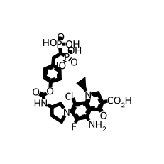 Nc1c(F)c(N2CCC(NC(=O)Oc3ccc(CC(P(=O)(O)O)P(=O)(O)O)cc3)C2)c(Cl)c2c1c(=O)c(C(=O)O)cn2C1CC1